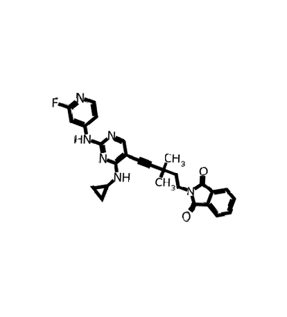 CC(C)(C#Cc1cnc(Nc2ccnc(F)c2)nc1NC1CC1)CCN1C(=O)c2ccccc2C1=O